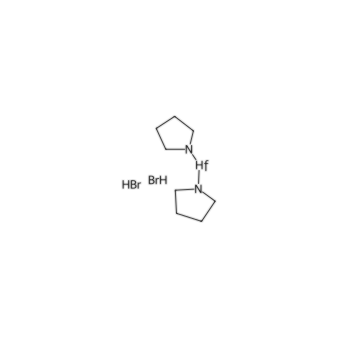 Br.Br.C1CC[N]([Hf][N]2CCCC2)C1